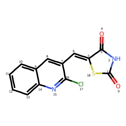 O=C1NC(=O)C(=Cc2cc3ccccc3nc2Cl)S1